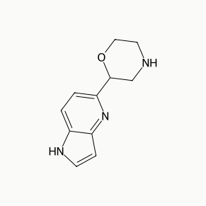 c1cc2nc(C3CNCCO3)ccc2[nH]1